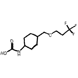 O=C(O)NC1CCC(COCCC(F)(F)F)CC1